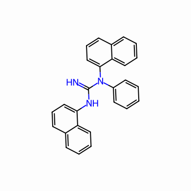 N=C(Nc1cccc2ccccc12)N(c1ccccc1)c1cccc2ccccc12